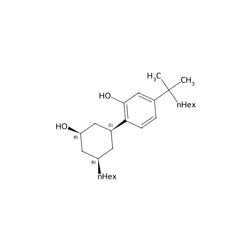 CCCCCC[C@H]1C[C@@H](O)C[C@@H](c2ccc(C(C)(C)CCCCCC)cc2O)C1